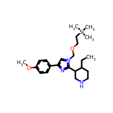 CCC1CCNCC1c1nc(-c2ccc(OC)cc2)cn1COCC[Si](C)(C)C